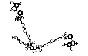 CN1Cc2c(Cl)cc(Cl)cc2[C@H](c2cccc(S(=O)(=O)NCCOCCOCCOCCNC(=O)CCC(N)(CCC(=O)NCCOCCO)CCC(=O)NCCOCCOCCOCCNS(=O)(=O)c3cccc([C@@H]4CN(C)Cc5c(Cl)cc(Cl)cc54)c3)c2)C1